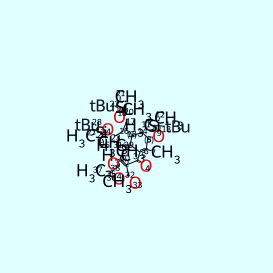 CC1=C(C(=O)C2=C(C)[C@@H](O[Si](C)(C)C(C)(C)C)C[C@@H](C(CO[Si](C)(C)C(C)(C)C)CO[Si](C)(C)C(C)(C)C)C2(C)C)C(=O)OC(C)(C)O1